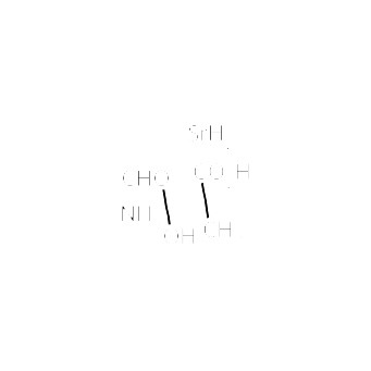 CC(=O)O.N.O=CO.[SrH2]